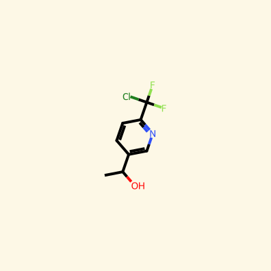 CC(O)c1ccc(C(F)(F)Cl)nc1